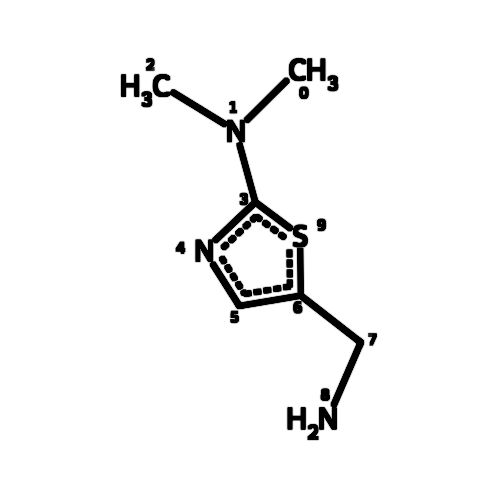 CN(C)c1ncc(CN)s1